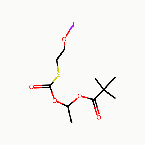 CC(OC(=O)SCCOI)OC(=O)C(C)(C)C